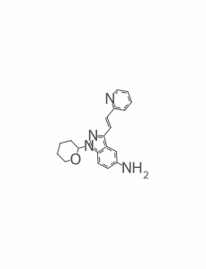 Nc1ccc2c(c1)c(/C=C/c1ccccn1)nn2C1CCCCO1